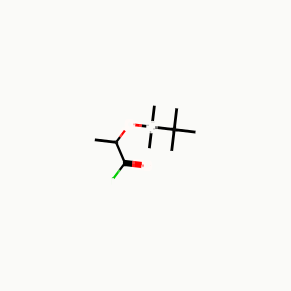 CC(O[Si](C)(C)C(C)(C)C)C(=O)Cl